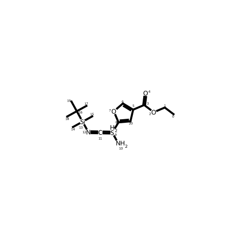 CCOC(=O)c1coc([SH2](N)=C=N[Si](C)(C)C(C)(C)C)c1